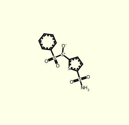 NS(=O)(=O)c1ccc([S+]([O-])S(=O)(=O)c2ccccc2)s1